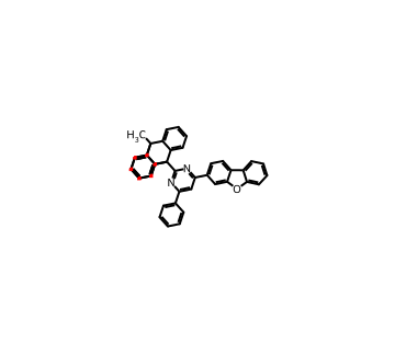 CC12c3ccccc3C(c3nc(-c4ccccc4)cc(-c4ccc5c(c4)oc4ccccc45)n3)(c3ccccc31)c1ccccc12